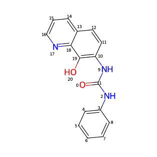 O=C(Nc1ccccc1)Nc1ccc2cccnc2c1O